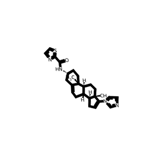 C[C@]12CC[C@@H](NC(=O)c3nccs3)CC1=CC[C@@H]1[C@@H]2CC[C@]2(C)C(n3ccnc3)=CC[C@@H]12